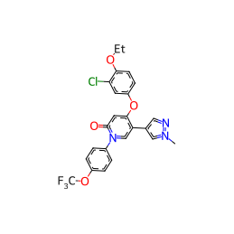 CCOc1ccc(Oc2cc(=O)n(-c3ccc(OC(F)(F)F)cc3)cc2-c2cnn(C)c2)cc1Cl